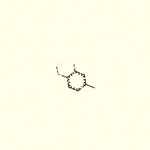 Cc1ccc(CN)c(Cl)c1